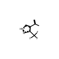 C=C(C)c1c[nH]nc1C(F)(F)F